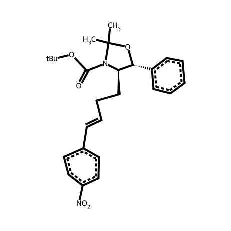 CC(C)(C)OC(=O)N1[C@H](CC/C=C/c2ccc([N+](=O)[O-])cc2)[C@@H](c2ccccc2)OC1(C)C